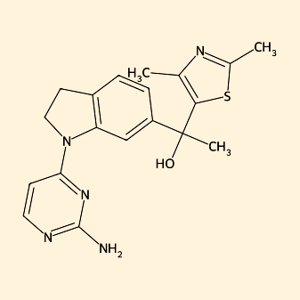 Cc1nc(C)c(C(C)(O)c2ccc3c(c2)N(c2ccnc(N)n2)CC3)s1